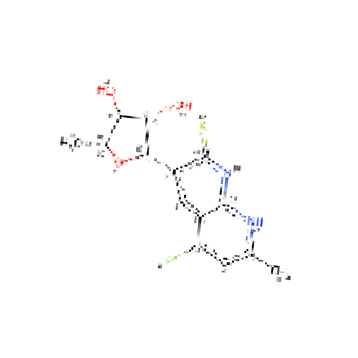 Cc1cc(F)c2cc([C@@H]3O[C@H](C)C(O)[C@@H]3O)c(=S)nc-2[nH]1